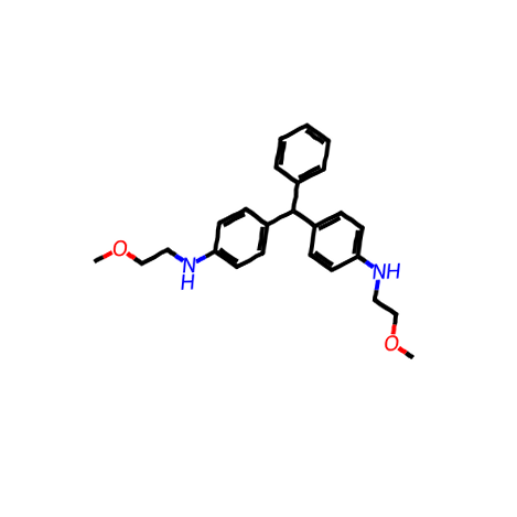 COCCNc1ccc(C(c2ccccc2)c2ccc(NCCOC)cc2)cc1